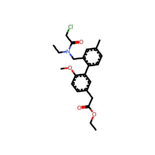 CCOC(=O)Cc1ccc(OC)c(-c2ccc(C)cc2CN(CC)C(=O)CCl)c1